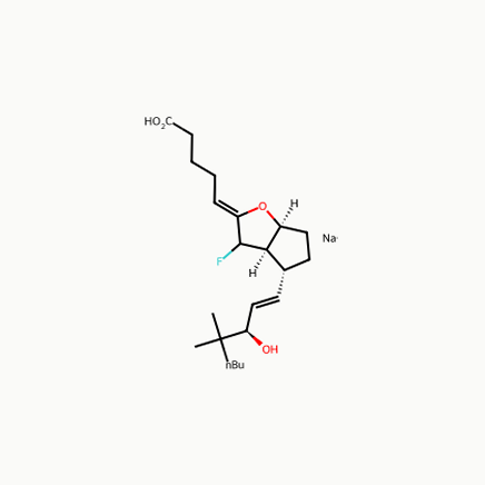 CCCCC(C)(C)[C@H](O)C=C[C@H]1CC[C@@H]2OC(=CCCCC(=O)O)C(F)[C@@H]21.[Na]